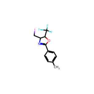 Cc1ccc(C2=NC(CI)C(C(F)(F)F)O2)cc1